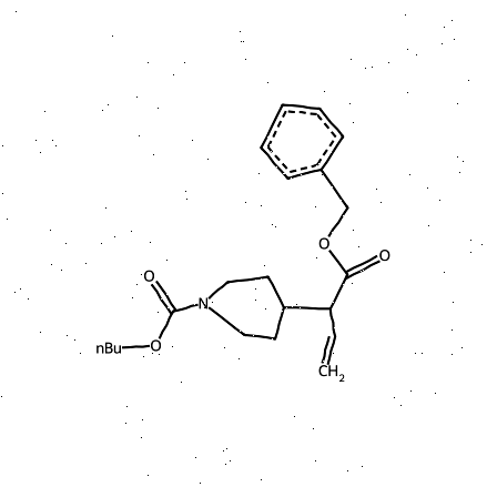 C=CC(C(=O)OCc1ccccc1)C1CCN(C(=O)OCCCC)CC1